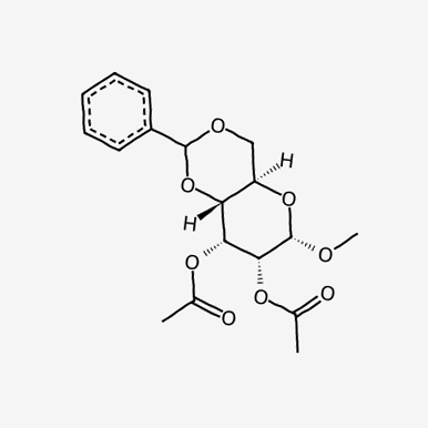 CO[C@H]1O[C@@H]2COC(c3ccccc3)O[C@H]2[C@@H](OC(C)=O)[C@H]1OC(C)=O